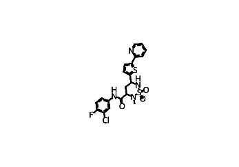 CN1C(C(=O)Nc2ccc(F)c(Cl)c2)CC(c2ccc(-c3ccccn3)s2)NS1(=O)=O